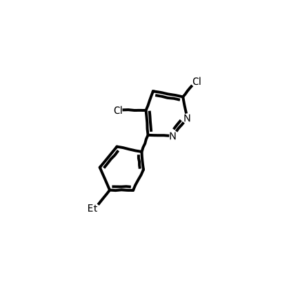 CCc1ccc(-c2nnc(Cl)cc2Cl)cc1